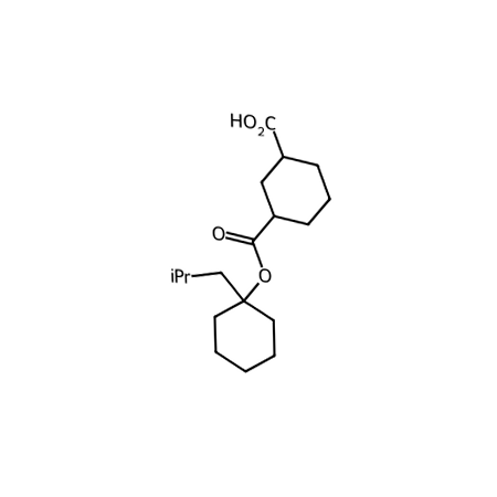 CC(C)CC1(OC(=O)C2CCCC(C(=O)O)C2)CCCCC1